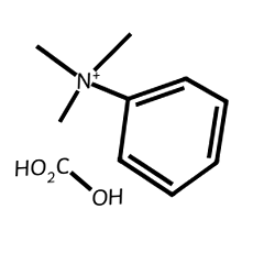 C[N+](C)(C)c1ccccc1.O=C(O)O